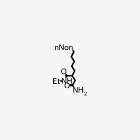 CCCCCCCCCCCCCCC(CC(N)=O)C(=O)NCC